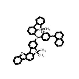 C[Si]1(C)c2cc(N(c3ccc(-c4cccc5ccccc45)cc3)c3cccc4c3[Si](C)(C)c3ccccc3-4)ccc2-c2c1ccc1c2oc2ccccc21